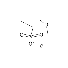 CCS(=O)(=O)[O-].COC.[K+]